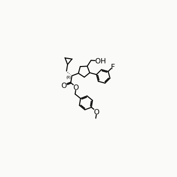 COc1ccc(COC(=O)[C@H](CC2CC2)C2CC(CO)C(c3cccc(F)c3)C2)cc1